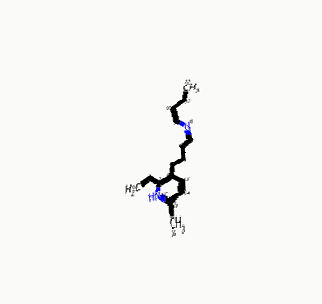 C=CC1=C(CCC/C=N\C=C/CC)C=CC(C)N1